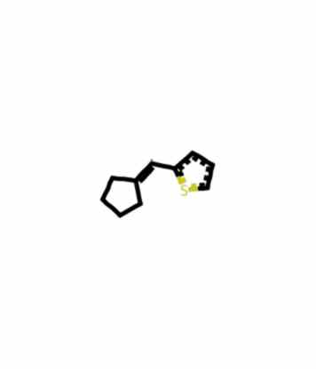 [C](=C1CCCC1)c1cccs1